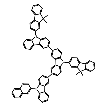 CC1(C)c2ccccc2-c2ccc(-n3c4ccccc4c4cc(-c5ccc6c(c5)c5cc(-c7ccc8c(c7)c7ccccc7n8-c7cnc8ccccc8n7)ccc5n6-c5ccc6c(c5)C(C)(C)c5ccccc5-6)ccc43)cc21